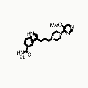 CCNC(=O)c1ccc2[nH]cc(CCCN3CCN(c4ncncc4OC)CC3)c2c1